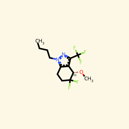 CCCCn1nc(C(F)(F)F)c2c1CCC(F)(F)[C@H]2OC